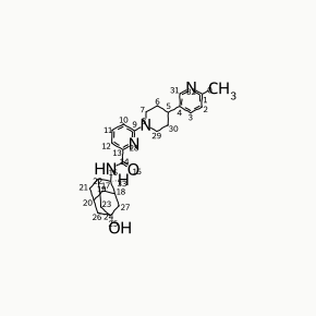 Cc1ccc(C2CCN(c3cccc(C(=O)N[C@H]4C5CC6CC4C[C@](O)(C6)C5)n3)CC2)cn1